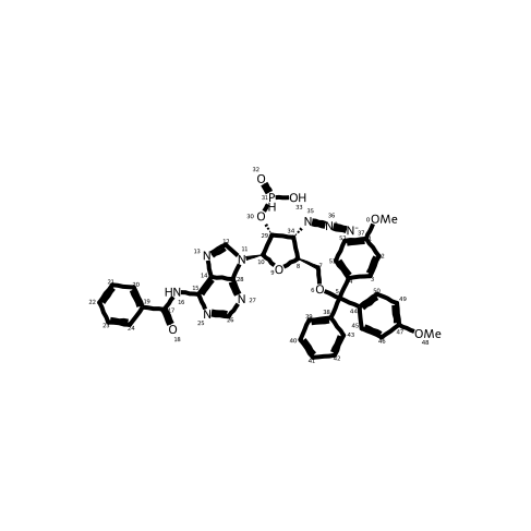 COc1ccc(C(OC[C@H]2O[C@@H](n3cnc4c(NC(=O)c5ccccc5)ncnc43)[C@H](O[PH](=O)O)[C@@H]2N=[N+]=[N-])(c2ccccc2)c2ccc(OC)cc2)cc1